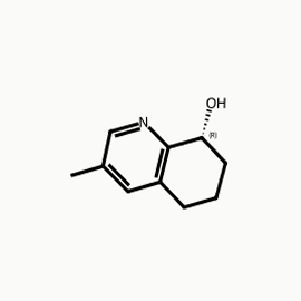 Cc1cnc2c(c1)CCC[C@H]2O